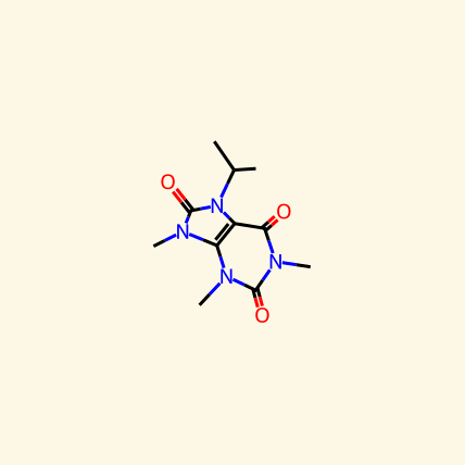 CC(C)n1c(=O)n(C)c2c1c(=O)n(C)c(=O)n2C